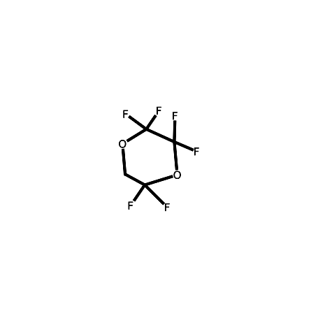 FC1(F)COC(F)(F)C(F)(F)O1